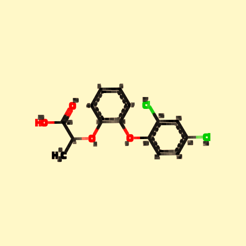 CC(Oc1ccccc1Oc1ccc(Cl)cc1Cl)C(=O)O